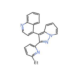 CCc1cccc(-c2nn3ccccc3c2-c2ccnc3ccccc23)n1